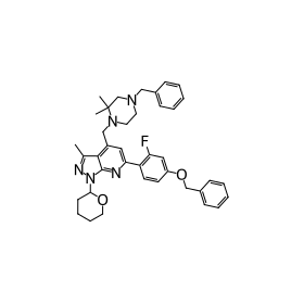 Cc1nn(C2CCCCO2)c2nc(-c3ccc(OCc4ccccc4)cc3F)cc(CN3CCN(Cc4ccccc4)CC3(C)C)c12